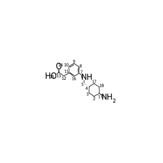 N[C@H]1CC[C@H](CNc2cccc(CC(=O)O)c2)CC1